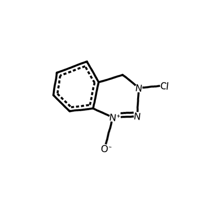 [O-][N+]1=NN(Cl)Cc2ccccc21